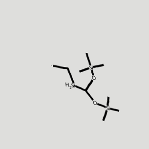 [CH2]C[SiH2]C(O[Si](C)(C)C)O[Si](C)(C)C